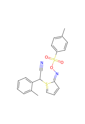 Cc1ccc(S(=O)(=O)ON=C2C=CC=S2C(C#N)c2ccccc2C)cc1